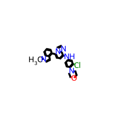 Cn1ccc2c(-c3ccc(Nc4ccc(N5CCOCC5)c(Cl)c4)c4nccn34)cccc21